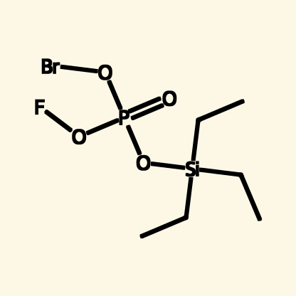 CC[Si](CC)(CC)OP(=O)(OF)OBr